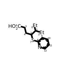 CCC(CC)C(CCC(=O)O)Sc1ccccn1